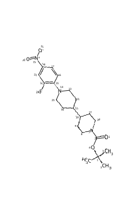 CC(C)(C)OC(=O)N1CCC(C2CCN(c3ccc([N+](=O)[O-])cc3F)CC2)CC1